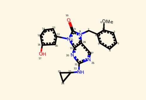 COc1ccccc1Cn1c(=O)n(-c2cccc(O)c2)c2nc(NC3CC3)ncc21